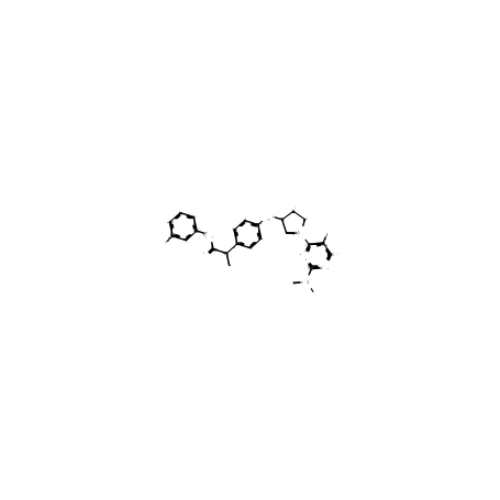 CC(C(=O)Nc1cccc(F)c1)c1ccc(OC2CCN(c3nc(N(C)C)ncc3F)C2)cc1